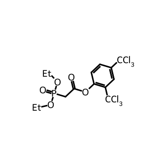 CCOP(=O)(CC(=O)Oc1ccc(C(Cl)(Cl)Cl)cc1C(Cl)(Cl)Cl)OCC